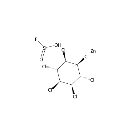 Cl[C@H]1[C@H](Cl)[C@@H](Cl)[C@@H](Cl)[C@H](Cl)[C@H]1Cl.O=[Si](O)F.[Zn]